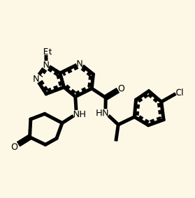 CCn1ncc2c(NC3CCC(=O)CC3)c(C(=O)NC(C)c3ccc(Cl)cc3)cnc21